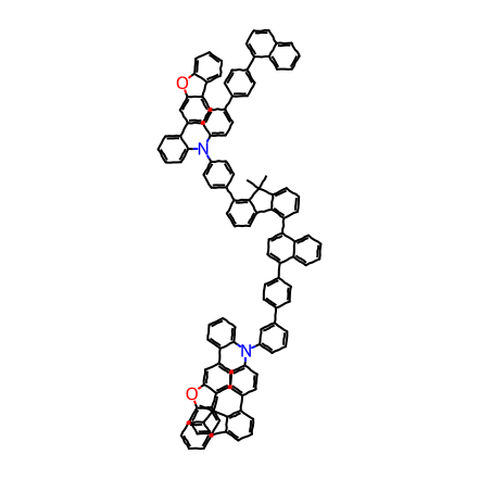 CC1(C)c2ccccc2-c2cccc(-c3ccc(N(c4cccc(-c5ccc(-c6ccc(-c7cccc8c7-c7cccc(-c9ccc(N(c%10ccc(-c%11ccc(-c%12cccc%13ccccc%12%13)cc%11)cc%10)c%10ccccc%10-c%10ccc%11c(c%10)oc%10ccccc%10%11)cc9)c7C8(C)C)c7ccccc67)cc5)c4)c4ccccc4-c4ccc5c(c4)oc4ccccc45)cc3)c21